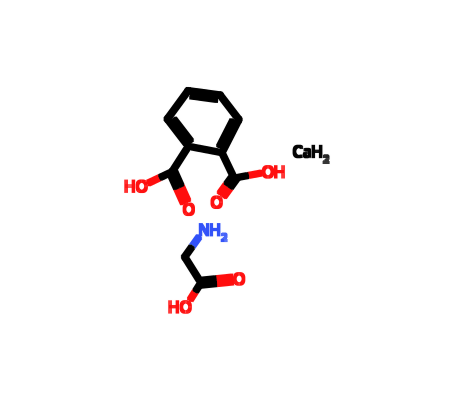 NCC(=O)O.O=C(O)c1ccccc1C(=O)O.[CaH2]